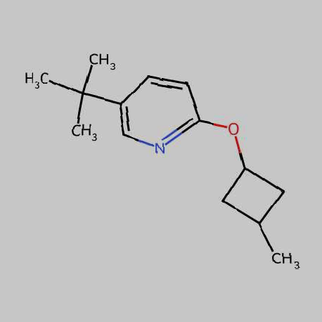 CC1CC(Oc2ccc(C(C)(C)C)cn2)C1